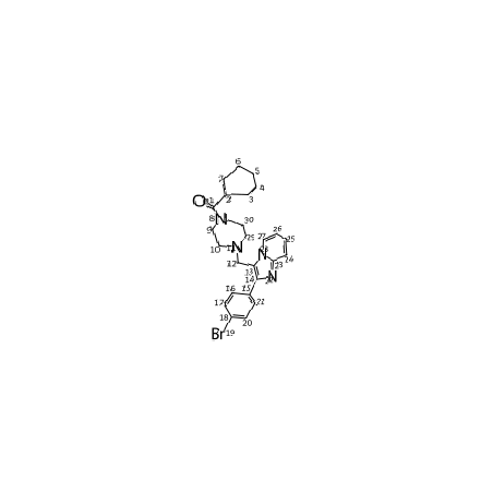 O=C(C1CCCCC1)N1CCN(Cc2c(-c3ccc(Br)cc3)nc3ccccn23)CC1